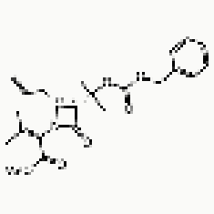 C=CC[C@@H]1[C@H](C(C)(C)OC(=O)OCc2ccccc2)C(=O)N1C(C(=O)OC)=C(C)C